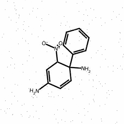 NC1=CC([N+](=O)[O-])C(N)(c2ccccc2)C=C1